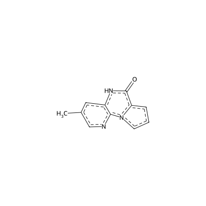 Cc1cnc2c(c1)[nH]c(=O)c1cccn12